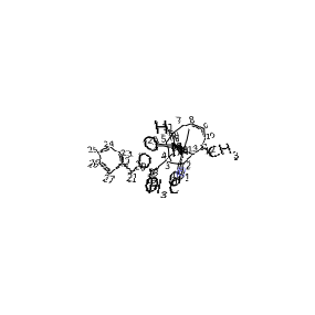 C/C=C1\CCC[C@@H]2CC=C=CC(C)C1C1C(=O)N(C(=O)OCc3ccccc3)C(=O)C12